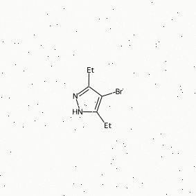 CCc1n[nH]c(CC)c1Br